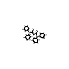 O=C(CC(=O)N(c1ccccc1)c1ccccc1)N(c1ccccc1)c1ccccc1